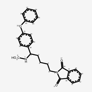 O=C(O)NC(CCCCN1C(=O)c2ccccc2C1=O)c1ccc(Oc2ccccc2)cc1